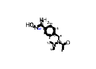 CC(=O)N(Cc1ccc(/C(N)=N/O)cc1)N(C)C